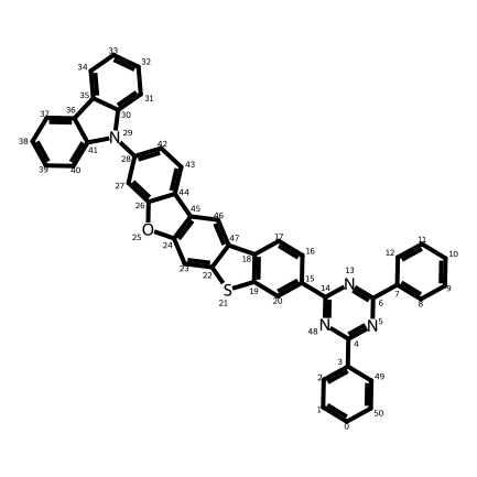 c1ccc(-c2nc(-c3ccccc3)nc(-c3ccc4c(c3)sc3cc5oc6cc(-n7c8ccccc8c8ccccc87)ccc6c5cc34)n2)cc1